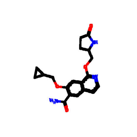 NC(=O)c1cc2ccnc(OCC3CCC(=O)N3)c2cc1OCC1CC1